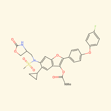 CNC(=O)Oc1c(-c2ccc(Oc3ccc(F)cc3)cc2)oc2cc(N(CC3COC(=O)N3)S(C)(=O)=O)c(C3CC3)cc12